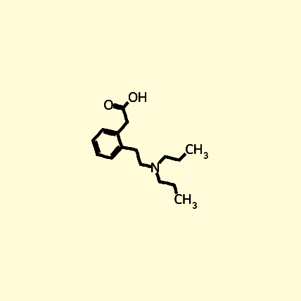 CCCN(CCC)CCc1ccccc1CC(=O)O